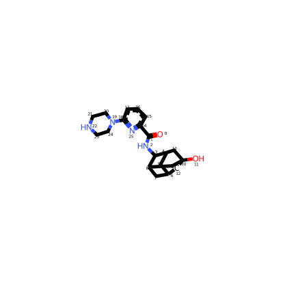 O=C(NC1C2CC3CC1CC(O)(C3)C2)c1cccc(N2CCNCC2)n1